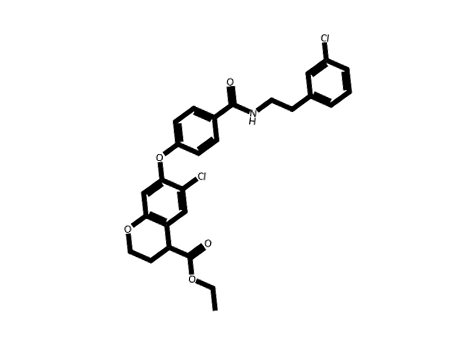 CCOC(=O)C1CCOc2cc(Oc3ccc(C(=O)NCCc4cccc(Cl)c4)cc3)c(Cl)cc21